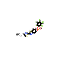 O=C(O)C1CSC(c2nc3ccc(OS(=O)(=O)c4c(F)c(F)c(F)c(F)c4F)cc3s2)=N1